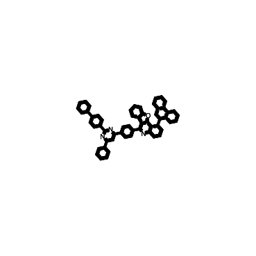 c1ccc(-c2ccc(-c3nc(-c4ccccc4)cc(-c4ccc(-c5nc6cccc(-c7cc8ccccc8c8ccccc78)c6c6oc7ccccc7c56)cc4)n3)cc2)cc1